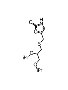 CC(C)OCC(CSCc1c[nH]c(=O)o1)OC(C)C